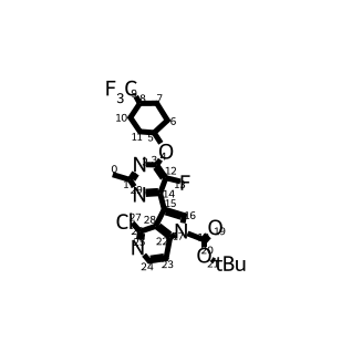 Cc1nc(OC2CCC(C(F)(F)F)CC2)c(F)c(-c2cn(C(=O)OC(C)(C)C)c3ccnc(Cl)c23)n1